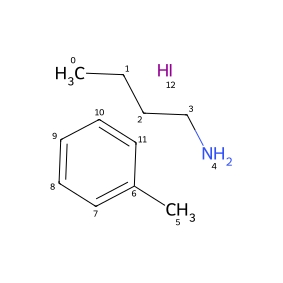 CCCCN.Cc1ccccc1.I